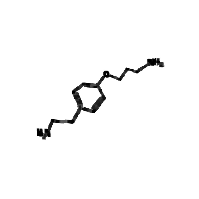 NCCCOc1ccc(CCN)cc1